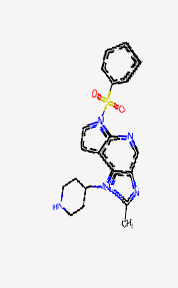 Cc1nc2cnc3c(ccn3S(=O)(=O)c3ccccc3)c2n1C1CCNCC1